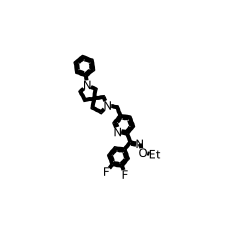 CCO/N=C(\c1ccc(F)c(F)c1)c1ccc(CN2CCC3(CCN(c4ccccc4)C3)C2)cn1